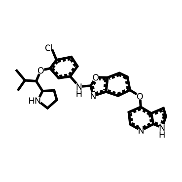 CC(C)C(Oc1cc(Nc2nc3cc(Oc4ccnc5[nH]ccc45)ccc3o2)ccc1Cl)C1CCCN1